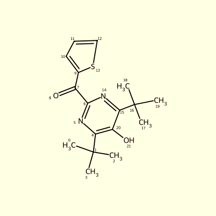 CC(C)(C)c1nc(C(=O)c2cccs2)nc(C(C)(C)C)c1O